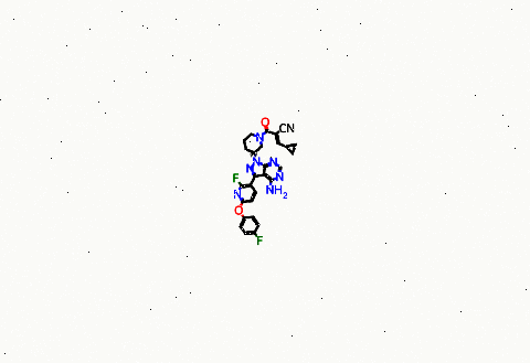 N#CC(=CC1CC1)C(=O)N1CCC[C@@H](n2nc(-c3ccc(Oc4ccc(F)cc4)nc3F)c3c(N)ncnc32)C1